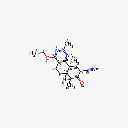 CCOc1nc(C)nc2c1CC[C@H]1[C@H](C)C(=O)C(C#N)C[C@]21C